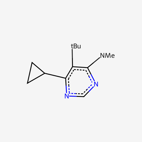 CNc1ncnc(C2CC2)c1C(C)(C)C